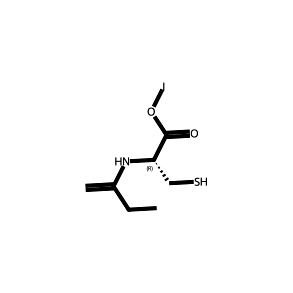 C=C(CC)N[C@@H](CS)C(=O)OI